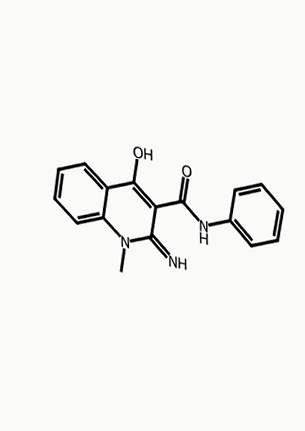 Cn1c(=N)c(C(=O)Nc2ccccc2)c(O)c2ccccc21